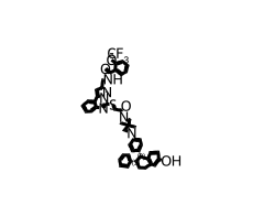 O=C(NCc1cc2c3ccccc3nc(SCC(=O)N3CC4(C3)CN(c3ccc([C@@H]5c6ccc(O)cc6CC[C@@H]5c5ccccc5)cc3)C4)n2n1)c1ccccc1OC(F)(F)F